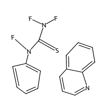 FN(F)C(=S)N(F)c1ccccc1.c1ccc2ncccc2c1